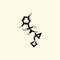 CC(C)(C(=O)NC1(CN2CCC2)CC1)c1cc(Cl)ccc1F